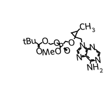 [CH2]OP(=O)(COC1(Cn2cnc3c(N)ncnc32)CC1C)OCOC(=O)C(C)(C)C